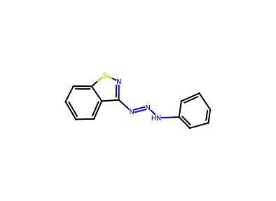 c1ccc(NN=Nc2nsc3ccccc23)cc1